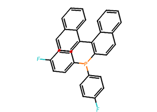 Fc1ccc(P(c2ccc(F)cc2)c2ccc3ccccc3c2-c2cccc3ccccc23)cc1